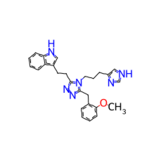 COc1ccccc1Cc1nnc(CCc2c[nH]c3ccccc23)n1CCCc1c[nH]cn1